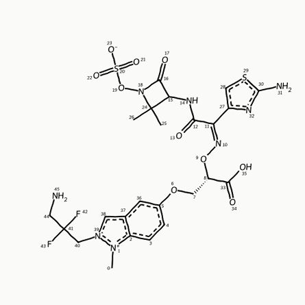 C[n+]1c2ccc(OC[C@H](O/N=C(\C(=O)NC3C(=O)N(OS(=O)(=O)[O-])C3(C)C)c3csc(N)n3)C(=O)O)cc2cn1CC(F)(F)CN